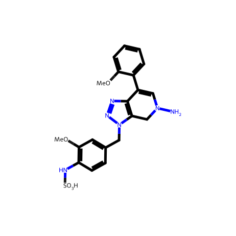 COc1cc(Cn2nnc3c2CN(N)C=C3c2ccccc2OC)ccc1NS(=O)(=O)O